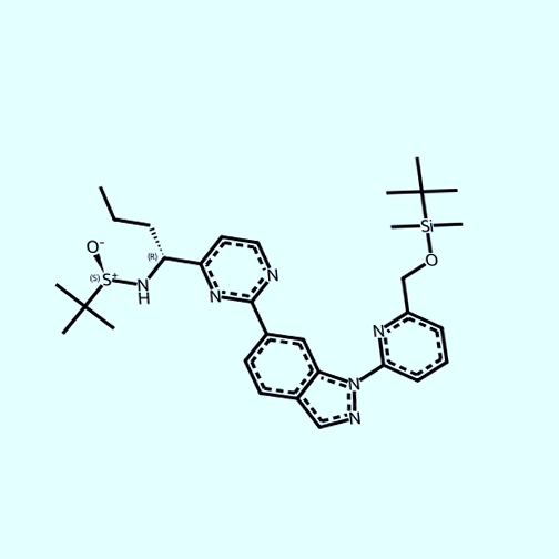 CCC[C@@H](N[S@+]([O-])C(C)(C)C)c1ccnc(-c2ccc3cnn(-c4cccc(CO[Si](C)(C)C(C)(C)C)n4)c3c2)n1